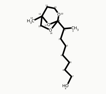 CC(CCCCCCO)C12OCCC(C)(CO1)O2